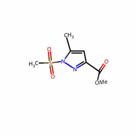 COC(=O)c1cc(C)n(S(C)(=O)=O)n1